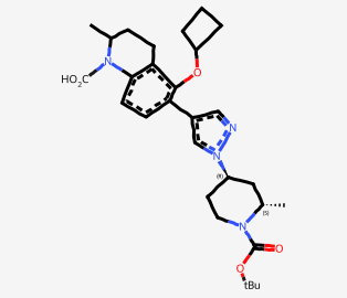 CC1CCc2c(ccc(-c3cnn([C@@H]4CCN(C(=O)OC(C)(C)C)[C@@H](C)C4)c3)c2OC2CCC2)N1C(=O)O